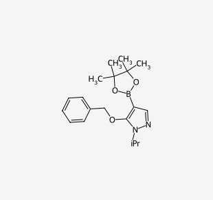 CC(C)n1ncc(B2OC(C)(C)C(C)(C)O2)c1OCc1ccccc1